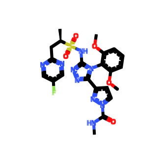 CNC(=O)n1ccc(-c2nnc(NS(=O)(=O)[C@H](C)Cc3ncc(F)cn3)n2-c2c(OC)cccc2OC)n1